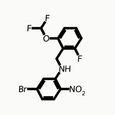 O=[N+]([O-])c1ccc(Br)cc1NCc1c(F)cccc1OC(F)F